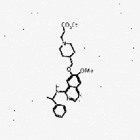 CCOC(=O)CCN1CCC(COc2cc3c(NC(C)c4ccccc4)ncnc3cc2OC)CC1